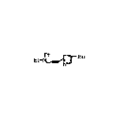 CCN(CC)CC#Cc1ccc(C(C)(C)C)cn1